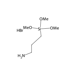 Br.CO[Si](CCCN)(OC)OC